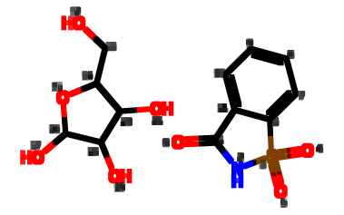 O=C1NS(=O)(=O)c2ccccc21.OCC1OC(O)C(O)C1O